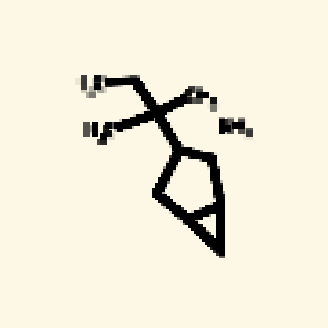 CCC(C)(C)C1CC2CC2C1.N